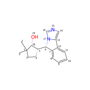 CC1(C)CC[C@@H]([C@H]2c3ccccc3-c3cncn32)[C@H]1O